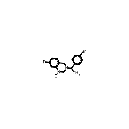 CC(c1ccc(Br)cc1)N1Cc2ccc(F)cc2N(C)C1